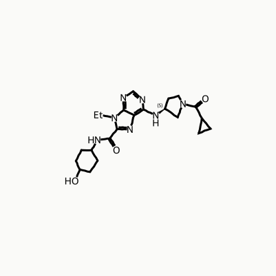 CCn1c(C(=O)NC2CCC(O)CC2)nc2c(N[C@H]3CCN(C(=O)C4CC4)C3)ncnc21